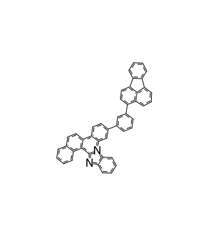 c1cc(-c2ccc3c4ccc5ccccc5c4c4nc5ccccc5n4c3c2)cc(-c2ccc3c4c(cccc24)-c2ccccc2-3)c1